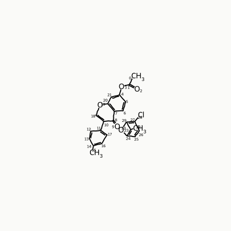 CC(=O)Oc1ccc2c(=O)c(-c3ccc(C)cc3)coc2c1.Cc1c2ccc(Cl)c1O2